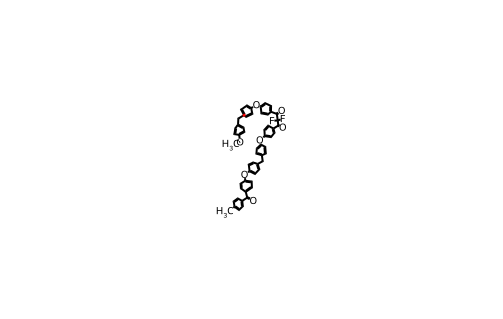 COc1ccc(Cc2ccc(Oc3ccc(C(=O)C(F)(F)C(=O)c4ccc(Oc5ccc(Cc6ccc(Oc7ccc(C(=O)c8ccc(C)cc8)cc7)cc6)cc5)cc4)cc3)cc2)cc1